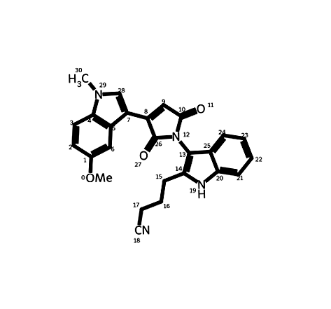 COc1ccc2c(c1)c(C1=CC(=O)N(c3c(CCCC#N)[nH]c4ccccc34)C1=O)cn2C